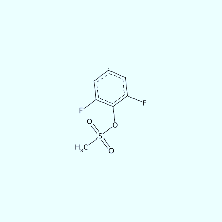 CS(=O)(=O)Oc1c(F)c[c]cc1F